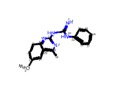 COc1ccc2nc(NC(=N)Nc3ccccc3)nc(C)c2c1